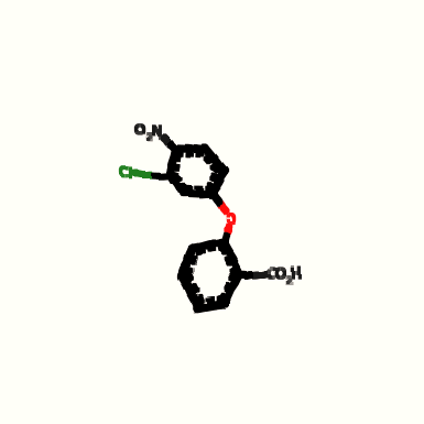 O=C(O)c1ccccc1Oc1ccc([N+](=O)[O-])c(Cl)c1